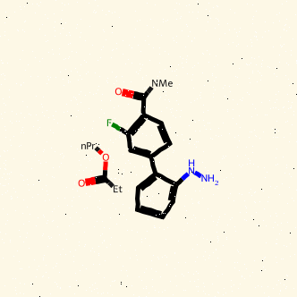 CCCOC(=O)CC.CNC(=O)c1ccc(-c2ccccc2NN)cc1F